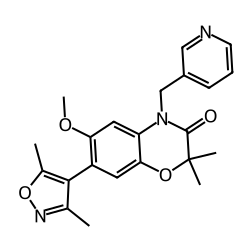 COc1cc2c(cc1-c1c(C)noc1C)OC(C)(C)C(=O)N2Cc1cccnc1